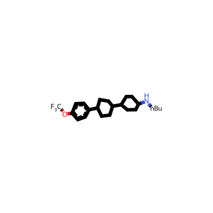 CCCCNC1CCC(C2CCC(c3ccc(OC(F)(F)F)cc3)CC2)CC1